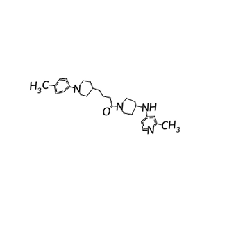 Cc1ccc(N2CCC(CCCC(=O)N3CCC(Nc4ccnc(C)c4)CC3)CC2)cc1